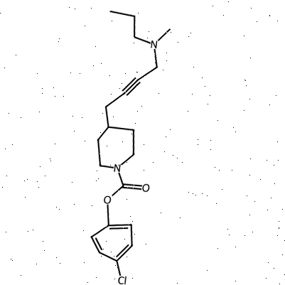 CCCN(C)CC#CCC1CCN(C(=O)Oc2ccc(Cl)cc2)CC1